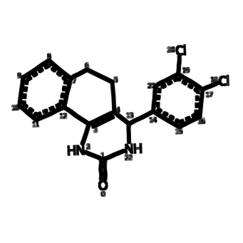 O=C1NC2=C(CCc3ccccc32)C(c2ccc(Cl)c(Cl)c2)N1